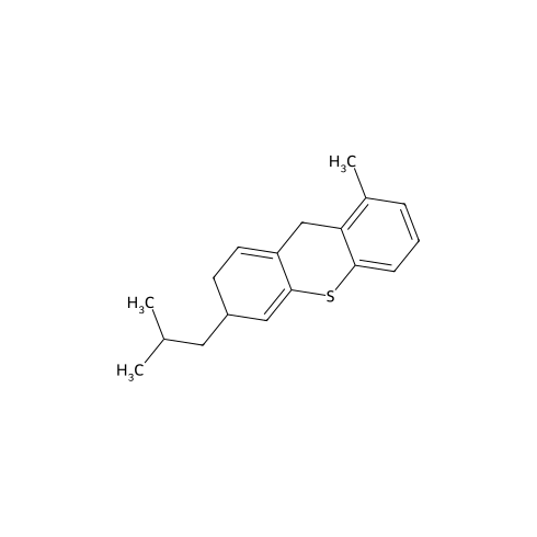 Cc1cccc2c1CC1=CCC(CC(C)C)C=C1S2